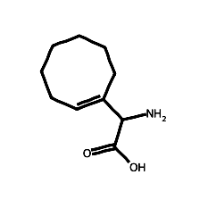 NC(C(=O)O)C1=CCCCCCC1